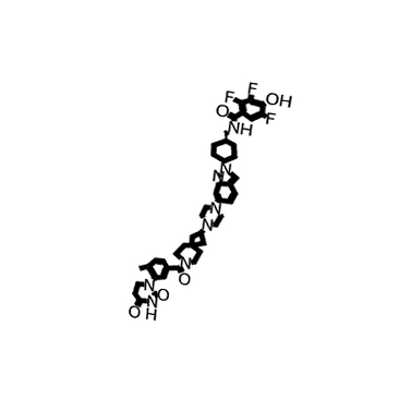 Cc1ccc(C(=O)N2CCC3(CC2)CC(N2CCN(c4ccc5cn([C@H]6CC[C@H](CNC(=O)c7cc(F)c(O)c(F)c7F)CC6)nc5c4)CC2)C3)cc1N1CCC(=O)NC1=O